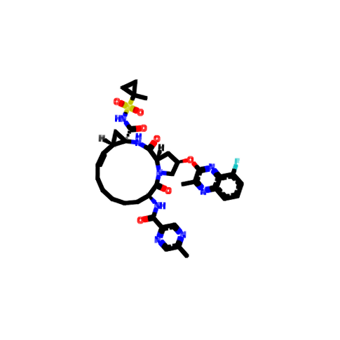 Cc1cnc(C(=O)N[C@H]2CCCCCC=C[C@@H]3C[C@@]3(C(=O)NS(=O)(=O)C3(C)CC3)NC(=O)[C@@H]3C[C@@H](Oc4nc5c(F)cccc5nc4C)CN3C2=O)cn1